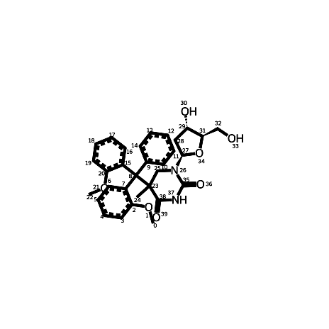 COc1ccccc1C(c1ccccc1)(c1ccccc1OC)C1(C)CN([C@H]2C[C@H](O)[C@@H](CO)O2)C(=O)NC1=O